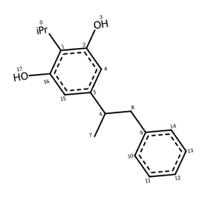 CC(C)c1c(O)cc(C(C)Cc2ccccc2)cc1O